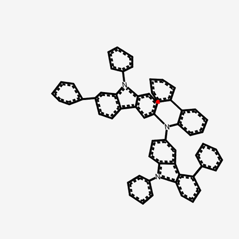 c1ccc(-c2ccc3c4cc(N(c5ccc6c(c5)c5c(-c7ccccc7)cccc5n6-c5ccccc5)c5ccccc5-c5ccccc5)ccc4n(-c4ccccc4)c3c2)cc1